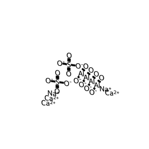 O=S(=O)([O-])[O-].O=S(=O)([O-])[O-].[Ca+2].[Ca+2].[Ca+2].[Na+].[Na+].[O]=[Al][O-].[O]=[Al][O-].[O]=[Al][O-].[O]=[Al][O-]